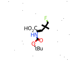 CC(C)(C=C(NC(=O)OC(C)(C)C)C(=O)O)CF